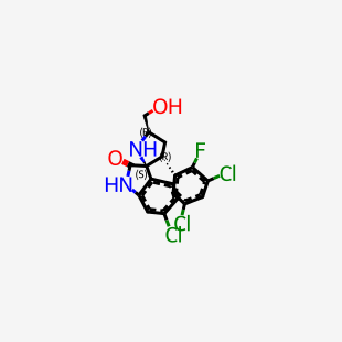 O=C1Nc2cc(Cl)ccc2[C@]12N[C@@H](CO)C[C@@H]2c1cc(Cl)cc(Cl)c1F